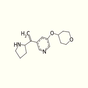 C=C(c1cncc(OC2CCOCC2)c1)C1CCCN1